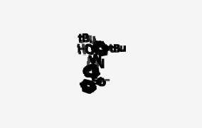 CC(C)(C)c1cc(-n2nc3ccc([S+]([O-])c4ccccc4)cc3n2)c(O)c(C(C)(C)C)c1